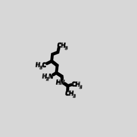 CCCC(C)CC(N)CNC(C)C